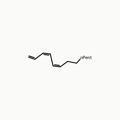 C=C/C=C\C=C/CCCCCCC